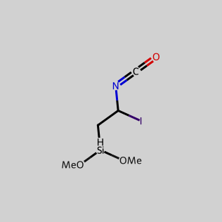 CO[SiH](CC(I)N=C=O)OC